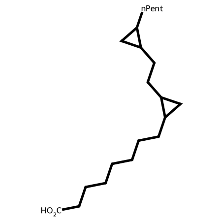 CCCCCC1CC1CCC1CC1CCCCCCCC(=O)O